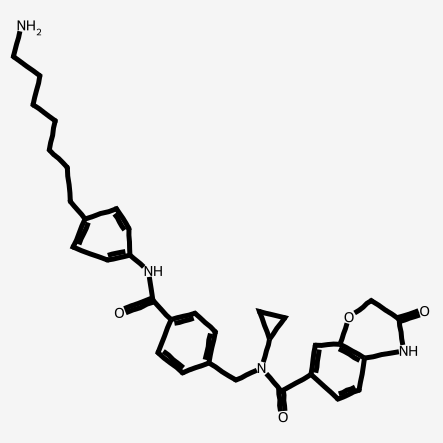 NCCCCCCCc1ccc(NC(=O)c2ccc(CN(C(=O)c3ccc4c(c3)OCC(=O)N4)C3CC3)cc2)cc1